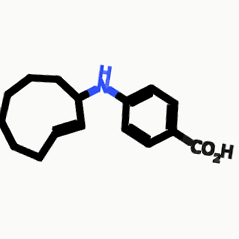 O=C(O)c1ccc(NC2/C=C/CCCCCC2)cc1